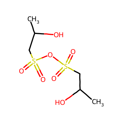 CC(O)CS(=O)(=O)OS(=O)(=O)CC(C)O